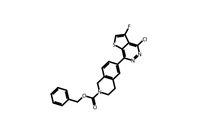 O=C(OCc1ccccc1)N1CCc2cc(-c3nnc(Cl)c4c(F)csc34)ccc2C1